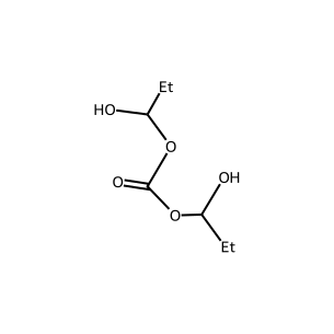 CCC(O)OC(=O)OC(O)CC